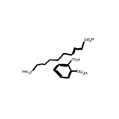 O=C(O)CCCCCCCCC(=O)O.O=C(O)c1ccccc1C(=O)O